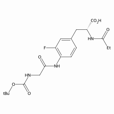 CCC(=O)N[C@H](Cc1ccc(NC(=O)CNC(=O)OC(C)(C)C)c(F)c1)C(=O)O